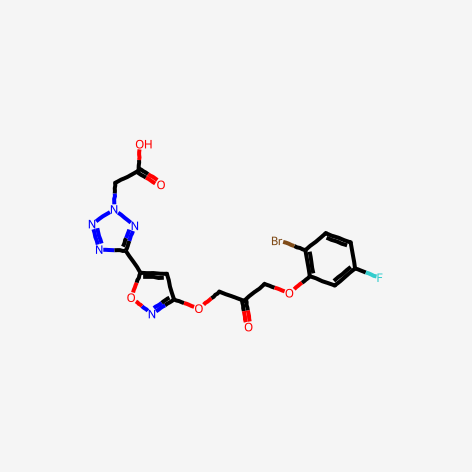 O=C(O)Cn1nnc(-c2cc(OCC(=O)COc3cc(F)ccc3Br)no2)n1